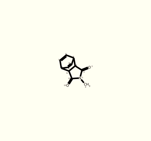 CN1C(=O)C2C3C=CC(C=C3)C2C1=O